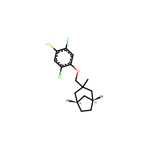 CC1(COc2cc(F)c(S)cc2Cl)C[C@@H]2CC[C@@H](C2)C1